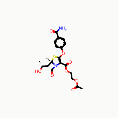 CC(=O)OCCOC(=O)C1=C(Oc2ccc(C(N)=O)cc2)S[C@@H]2[C@@H]([C@@H](C)O)C(=O)N12